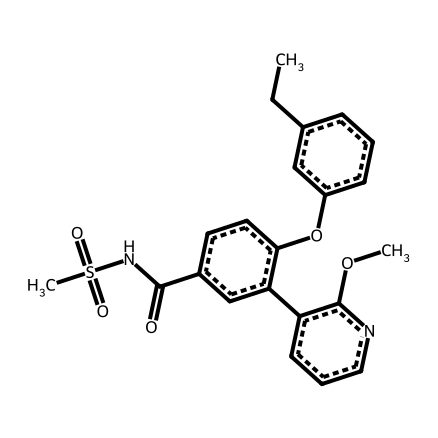 CCc1cccc(Oc2ccc(C(=O)NS(C)(=O)=O)cc2-c2cccnc2OC)c1